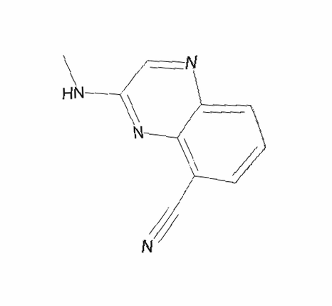 CNc1cnc2cccc(C#N)c2n1